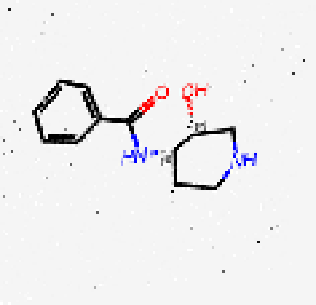 O=C(N[C@H]1CCNC[C@H]1O)c1ccccc1